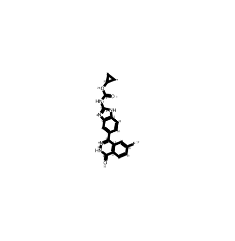 O=C(Nc1nc2cc(-c3n[nH]c(=O)c4ccc(F)cc34)ccc2[nH]1)OC1CC1